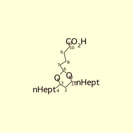 CCCCCCCC1CC(CCCCCCC)OC(CCCCC(=O)O)O1